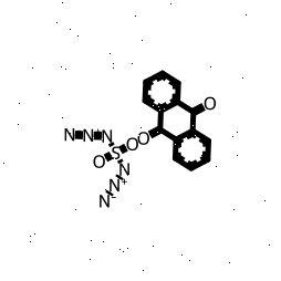 O=C1c2ccccc2C(=O)c2ccccc21.[N-]=[N+]=NS(=O)(=O)N=[N+]=[N-]